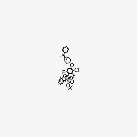 C[C@H](c1ccccc1)N1CCC(Oc2cc(F)c(S(=O)(=O)N(C(=O)OC(C)(C)C)c3cscn3)c(F)c2Cl)CC1